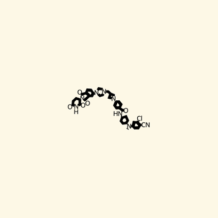 CN(c1ccc(C#N)c(Cl)c1)[C@H]1CC[C@H](NC(=O)c2ccc(N3CC(CN4CCN(c5ccc6c(c5)C(=O)N(C5CCC(=O)NC5=O)C6=O)CC4)C3)cc2)CC1